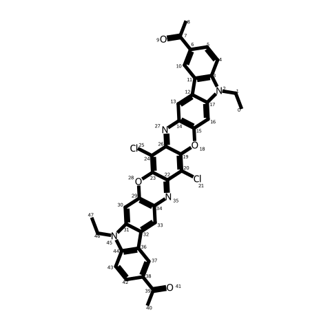 CCn1c2ccc(C(C)=O)cc2c2cc3c(cc21)Oc1c(Cl)c2c(c(Cl)c1=N3)Oc1cc3c(cc1N=2)c1cc(C(C)=O)ccc1n3CC